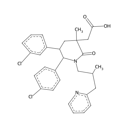 CC(Cc1ccccn1)CN1C(=O)C(C)(CC(=O)O)CC(c2cccc(Cl)c2)C1c1ccc(Cl)cc1